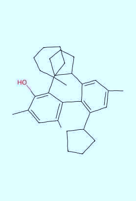 Cc1cc(C2CCCC2)c(-c2c(C)cc(C)c(O)c2C2(C)CCCCC2)c(C2CCCC2)c1